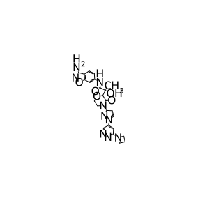 C[C@](O)(C(=O)Nc1ccc2c(N)noc2c1)[C@H]1OCCN(c2ccn(-c3cnnc(N4CCC4)c3)n2)C1=O